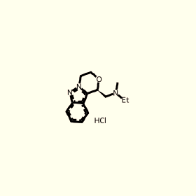 CCN(C)C[C@@H]1OCCn2nc3ccccc3c21.Cl